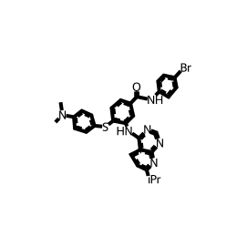 CC(C)c1ccc2c(Nc3cc(C(=O)Nc4ccc(Br)cc4)ccc3Sc3ccc(N(C)C)cc3)ncnc2n1